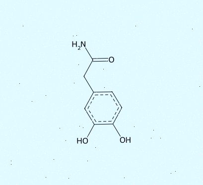 NC(=O)Cc1ccc(O)c(O)c1